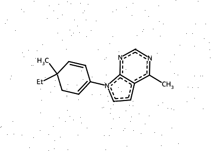 CCC1(C)C=CC(n2ccc3c(C)ncnc32)=CC1